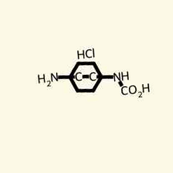 Cl.NC12CCC(NC(=O)O)(CC1)CC2